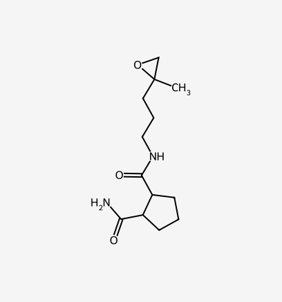 CC1(CCCNC(=O)C2CCCC2C(N)=O)CO1